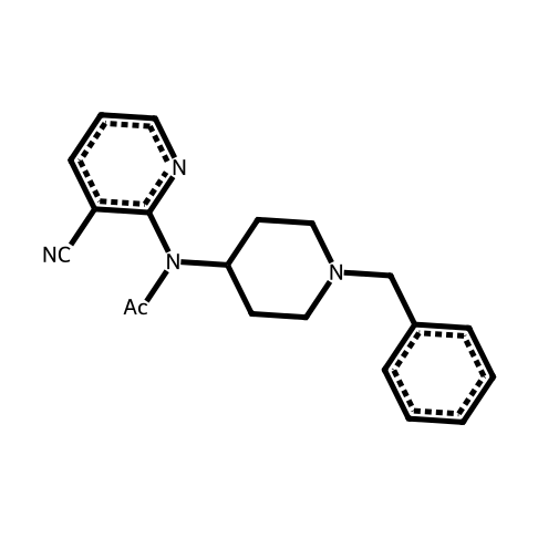 CC(=O)N(c1ncccc1C#N)C1CCN(Cc2ccccc2)CC1